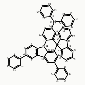 c1ccc(-c2ccc3c(c2)c2cc(-c4ccccc4)cc4c2n3-c2ccc(N(c3ccccc3)c3ccccc3)cc2C42c3ccccc3-c3ccccc32)cc1